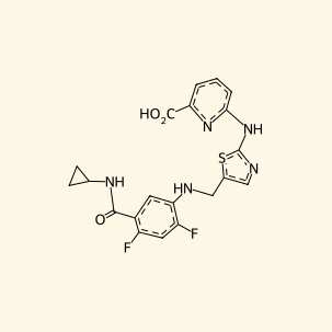 O=C(O)c1cccc(Nc2ncc(CNc3cc(C(=O)NC4CC4)c(F)cc3F)s2)n1